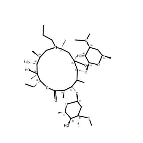 CCCN1C[C@H](C)[C@@H](O)[C@](C)(O)[C@@H](CC)OC(=O)[C@H](C)[C@@H](O[C@H]2C[C@@](C)(OC)[C@@H](O)[C@H](C)O2)C(C)[C@@H](O[C@@H]2O[C@H](C)C[C@H](N(C)C)[C@H]2O)[C@](C)(O)C[C@H]1C